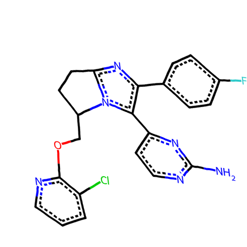 Nc1nccc(-c2c(-c3ccc(F)cc3)nc3n2C(COc2ncccc2Cl)CC3)n1